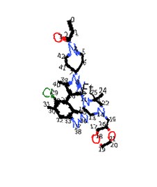 C=CC(=O)N1CCC(n2nc(N3CCN(C[C@@H]4COCCO4)C[C@]3(C)CC)c(-c3c(Cl)c(C)cc4c3cnn4C)c2C)CC1